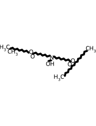 CCCCCCCCC(CCCCCCCC)OC(=O)CCCCCCCN(CCO)CCCCCCCC(=O)OCCCCCCCCC(C)C